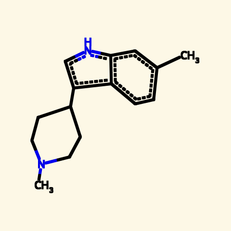 Cc1ccc2c(C3CCN(C)CC3)c[nH]c2c1